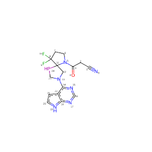 N#CCC(=O)N1CCC(F)(F)C12CN(c1ncnc3[nH]ccc13)CP2